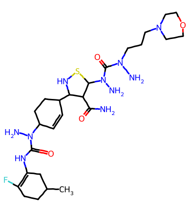 CC1CCC(F)=C(NC(=O)N(N)C2C=CC(C3NSC(N(N)C(=O)N(N)CCCN4CCOCC4)C3C(N)=O)CC2)C1